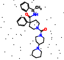 C[C@H](NC(=O)C1(c2ccccc2)CCN(C(=O)N2CCC(N3CCCCC3)CC2)CC1)c1ccccc1